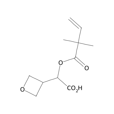 C=CC(C)(C)C(=O)OC(C(=O)O)C1COC1